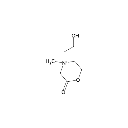 C[N+]1(CCO)CCOC(=O)C1